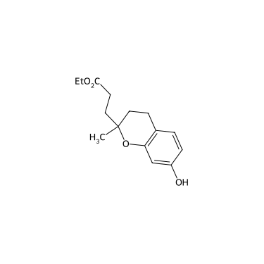 CCOC(=O)CCC1(C)CCc2ccc(O)cc2O1